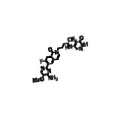 COc1cnc(-c2cc3ccn(CCC[C@H](C)Nc4cn[nH]c(=O)c4F)c(=O)c3cc2F)nc1N